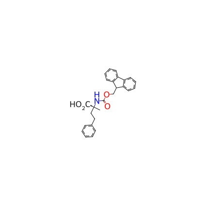 C[C@](CCc1ccccc1)(NC(=O)OCC1c2ccccc2-c2ccccc21)C(=O)O